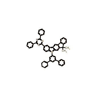 CC1(C)c2ccccc2-c2cc3c4cc(-c5nc(-c6ccccc6)nc(-c6ccccc6)n5)ccc4n(-c4cc(C5=CCCC=C5)cc(-c5ccccc5)c4)c3cc21